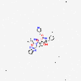 CCC(C)[C@H](N)C(=O)N(Cc1nc2ccccc2[nH]1)C(=O)[C@@H](C[C@H](O)[C@H](CC1CCCCC1)NC(=O)OCc1ccncc1)C(C)C